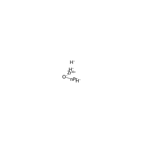 CCC[O-].[H-].[H-].[H-].[Zr+4]